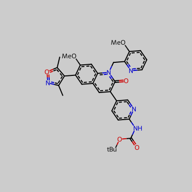 COc1cc2c(cc1-c1c(C)noc1C)cc(-c1ccc(NC(=O)OC(C)(C)C)nc1)c(=O)n2Cc1ncccc1OC